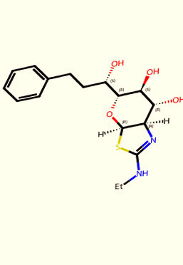 CCNC1=N[C@@H]2[C@@H](O)[C@H](O)[C@@H]([C@@H](O)CCc3ccccc3)O[C@@H]2S1